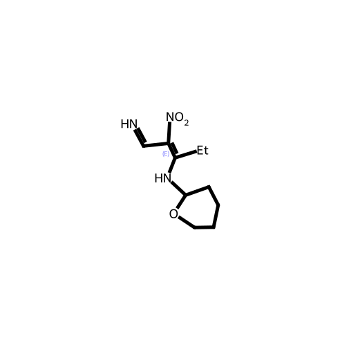 CC/C(NC1CCCCO1)=C(/C=N)[N+](=O)[O-]